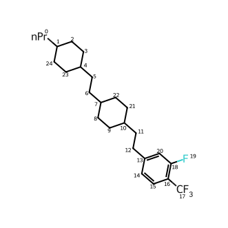 CCCC1CCC(CCC2CCC(CCc3ccc(C(F)(F)F)c(F)c3)CC2)CC1